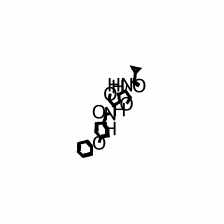 O=C(N[C@H]1CO[C@H]2[C@@H]1OC[C@@H]2NC(=O)C1CC1)c1ccc(Oc2ccccc2)cc1